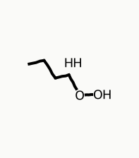 CCCCOO.[HH]